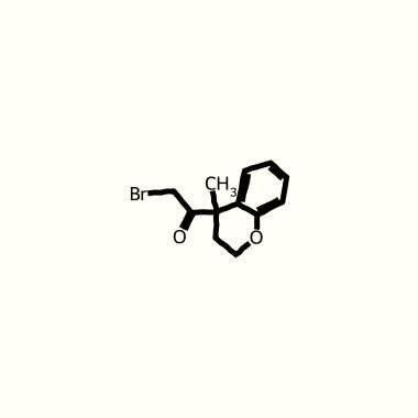 CC1(C(=O)CBr)CCOc2ccccc21